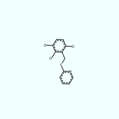 Clc1ccc(Cl)c(CSc2ccccn2)c1Cl